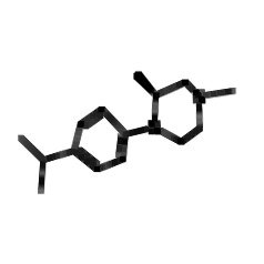 CC(C)c1ccc(N2CCN(C)C[C@@H]2C)cc1